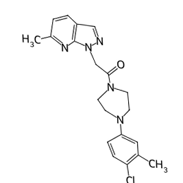 Cc1ccc2cnn(CC(=O)N3CCN(c4ccc(Cl)c(C)c4)CC3)c2n1